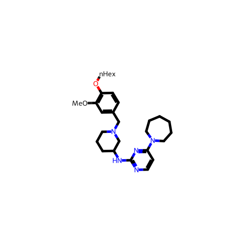 CCCCCCOc1ccc(CN2CCCC(Nc3nccc(N4CCCCCC4)n3)C2)cc1OC